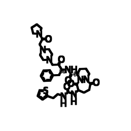 O=C(NCCc1cccs1)NC1CCC(=O)N2CCC[C@@H](C(=O)N[C@@H](Cc3ccccc3)C(=O)CN3CCN(CC(=O)N4CCCC4)CC3)N2C1=O